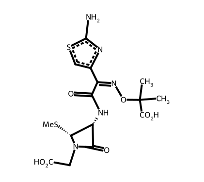 CS[C@@H]1[C@H](NC(=O)/C(=N\OC(C)(C)C(=O)O)c2csc(N)n2)C(=O)N1CC(=O)O